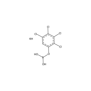 OB(O)Oc1cc(Cl)c(Cl)c(Cl)c1Cl.[KH]